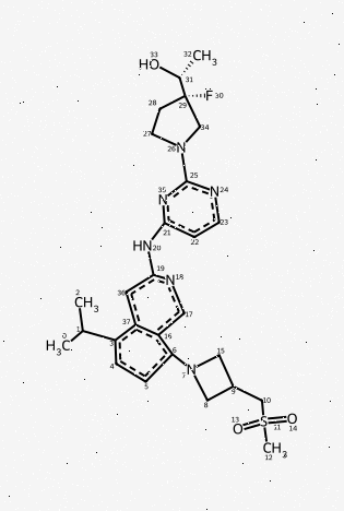 CC(C)c1ccc(N2CC(CS(C)(=O)=O)C2)c2cnc(Nc3ccnc(N4CC[C@@](F)([C@@H](C)O)C4)n3)cc12